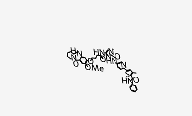 COc1cc2c(cc1OCCCC(=O)Nc1cn(C)c(C(=O)Nc3ccc(-c4cc(C)c(C(=O)Nc5ccccc5)s4)nc3)n1)N=C[C@@H]1CCCCN1C2=O